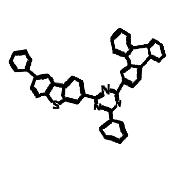 c1ccc(-c2ccc3sc4cc(-c5nc(-c6ccccc6)nc(-c6ccc7c8ccccc8c8ccccc8c7c6)n5)ccc4c3c2)cc1